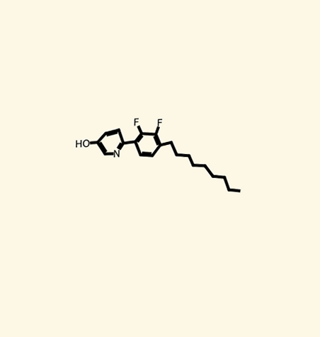 CCCCCCCCCc1ccc(-c2ccc(O)cn2)c(F)c1F